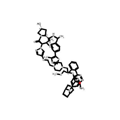 COCOc1ccccc1-c1cc(N2CC3CCC(C2)N3c2ccnc(OCCN3CCN(CCOc4cnn(C(C(=O)N5C[C@H](O)C[C@H]5C(=O)NC(C)c5ccc(-c6scnc6C)cc5)C(C)C)c4)CC3)c2)c(N)nn1